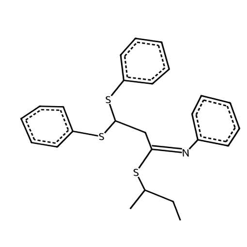 CCC(C)SC(CC(Sc1ccccc1)Sc1ccccc1)=Nc1ccccc1